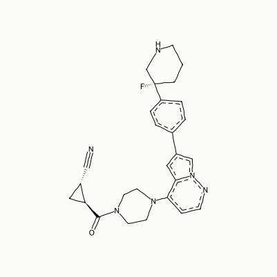 N#C[C@H]1C[C@@H]1C(=O)N1CCN(c2ccnn3cc(-c4ccc([C@]5(F)CCCNC5)cc4)cc23)CC1